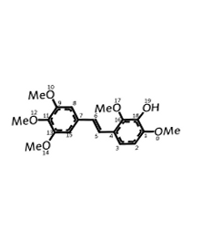 COc1ccc(C=Cc2cc(OC)c(OC)c(OC)c2)c(OC)c1O